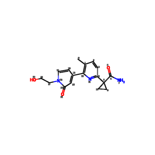 Cc1ccc(C2(C(N)=O)CC2)nc1-c1ccn(CCO)c(=O)c1